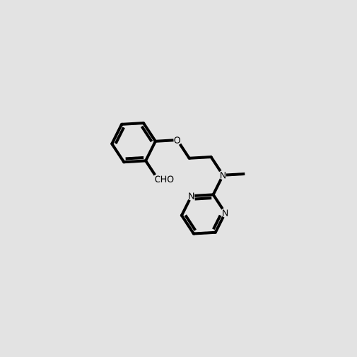 CN(CCOc1ccccc1C=O)c1ncccn1